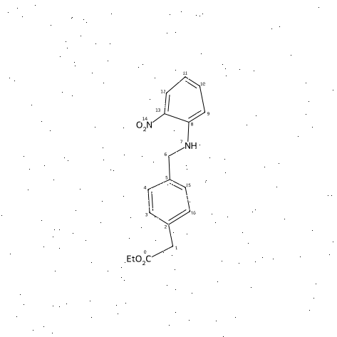 CCOC(=O)Cc1ccc(CNc2ccccc2[N+](=O)[O-])cc1